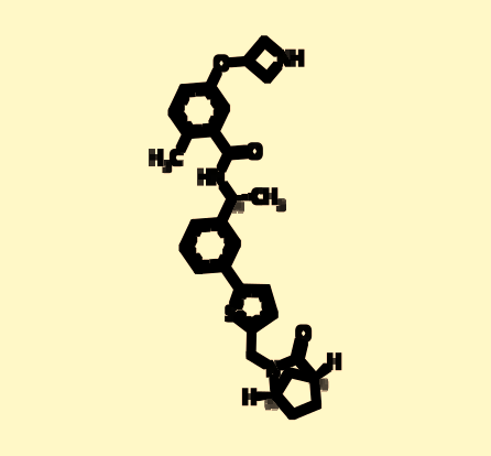 Cc1ccc(OC2CNC2)cc1C(=O)N[C@H](C)c1cccc(-c2ccc(CN3C(=O)[C@@H]4CC[C@H]3C4)s2)c1